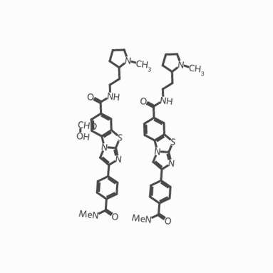 CNC(=O)c1ccc(-c2cn3c(n2)sc2cc(C(=O)NCCC4CCCN4C)ccc23)cc1.CNC(=O)c1ccc(-c2cn3c(n2)sc2cc(C(=O)NCCC4CCCN4C)ccc23)cc1.O=CO